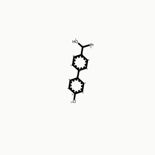 CC(C)C(O)c1ccc(-c2ccc(Cl)cc2)cc1